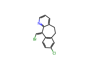 Clc1ccc2c(c1)CCc1cccnc1/C2=C/Br